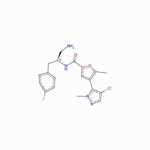 Cc1oc(C(=O)N[C@H](CN)Cc2ccc(F)cc2)cc1-c1c(Cl)cnn1C